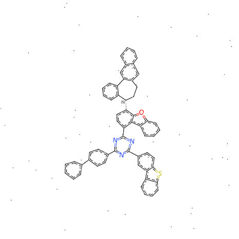 c1ccc(-c2ccc(-c3nc(-c4ccc5sc6ccccc6c5c4)nc(-c4ccc([C@H]5CCc6cc7ccccc7cc6-c6ccccc65)c5oc6ccccc6c45)n3)cc2)cc1